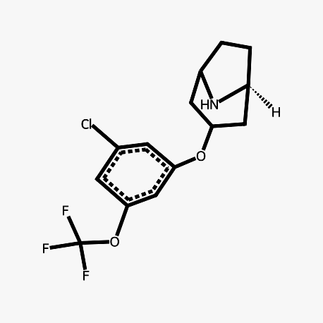 FC(F)(F)Oc1cc(Cl)cc(OC2CC3CC[C@@H](C2)N3)c1